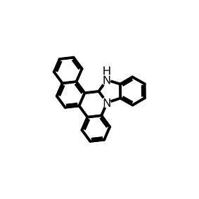 c1ccc2c(c1)NC1c3c(ccc4ccccc34)-c3ccccc3N21